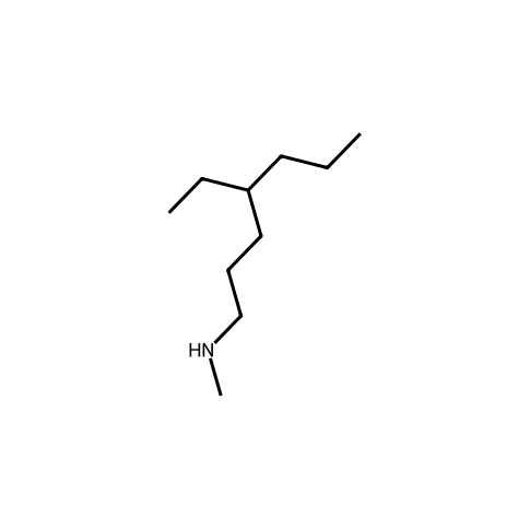 CCCC(CC)CCCNC